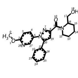 COc1ccc(-n2nc(C(=O)N3CCCCC3CO)cc2-c2ccccc2)cn1